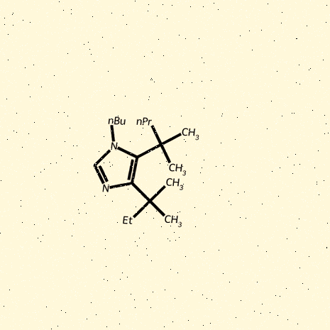 CCCCn1cnc(C(C)(C)CC)c1C(C)(C)CCC